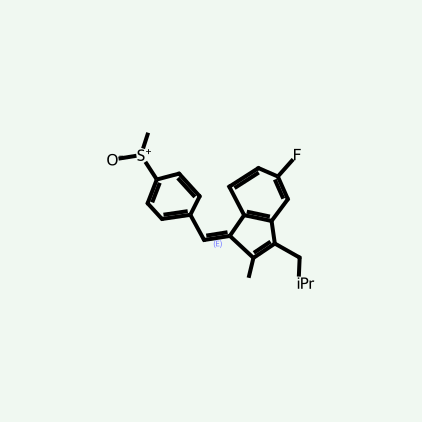 CC1=C(CC(C)C)c2cc(F)ccc2/C1=C\c1ccc([S+](C)[O-])cc1